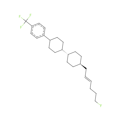 FCCC/C=C/C[C@H]1CC[C@H](C2CCC(c3ccc(C(F)(F)F)cc3)CC2)CC1